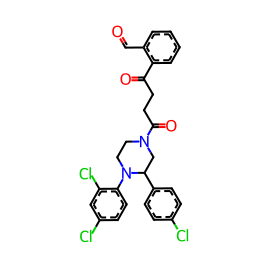 O=Cc1ccccc1C(=O)CCC(=O)N1CCN(c2ccc(Cl)cc2Cl)C(c2ccc(Cl)cc2)C1